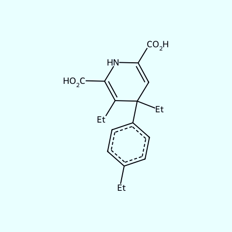 CCC1=C(C(=O)O)NC(C(=O)O)=CC1(CC)c1ccc(CC)cc1